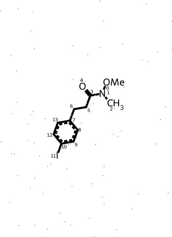 CON(C)C(=O)CCc1ccc(I)cc1